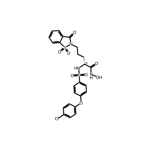 O=C(NO)[C@@H](CCCN1C(=O)c2ccccc2S1(=O)=O)NS(=O)(=O)c1ccc(Oc2ccc(Cl)cc2)cc1